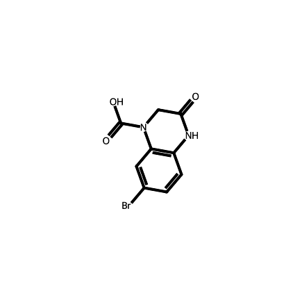 O=C1CN(C(=O)O)c2cc(Br)ccc2N1